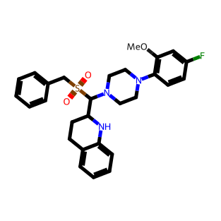 COc1cc(F)ccc1N1CCN(C(C2CCc3ccccc3N2)S(=O)(=O)Cc2ccccc2)CC1